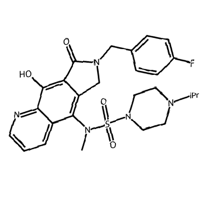 CC(C)N1CCN(S(=O)(=O)N(C)c2c3c(c(O)c4ncccc24)C(=O)N(Cc2ccc(F)cc2)C3)CC1